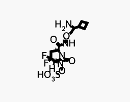 NC(CONC(=O)[C@@H]1CC(F)(F)[C@@H]2CN1C(=O)N2OS(=O)(=O)O)C1CCC1